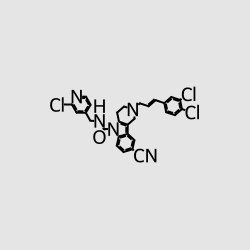 N#Cc1ccc2c(c1)c1c(n2C(=O)NCc2ccnc(Cl)c2)CCN(CC=Cc2ccc(Cl)c(Cl)c2)C1